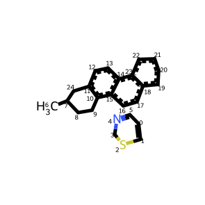 C1=CSCN=C1.CC1CCc2c(ccc3c2ccc2ccccc23)C1